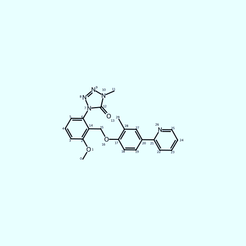 COc1cccc(-n2nnn(C)c2=O)c1COc1ccc(-c2ccccn2)cc1C